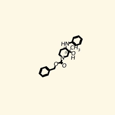 C[C@]1(O)CN(C(=O)OCc2ccccc2)CC[C@@H]1Nc1ccccc1